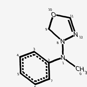 CN(c1ccccc1)N1COC=N1